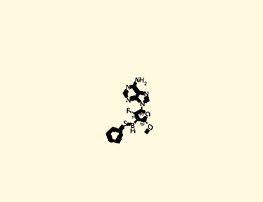 CO[C@H]1O[C@@H](n2cnc3c(N)ncnc32)[C@@H](F)[C@@H]1BSc1ccccc1